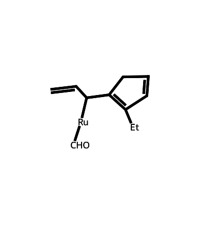 C=C[CH]([Ru][CH]=O)C1=C(CC)C=CC1